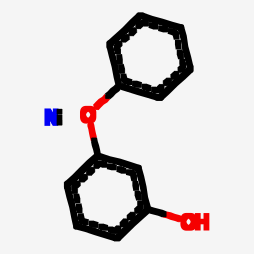 Oc1cccc(Oc2ccccc2)c1.[N]